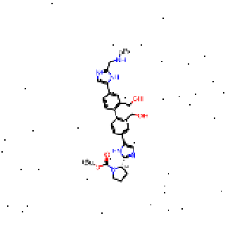 CCCNCc1ncc(-c2ccc(-c3ccc(-c4cnc([C@@H]5CCCN5C(=O)OC(C)(C)C)[nH]4)cc3CO)c(CO)c2)[nH]1